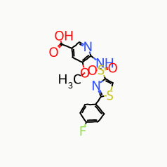 COc1cc(C(=O)O)cnc1NS(=O)(=O)c1csc(-c2ccc(F)cc2)n1